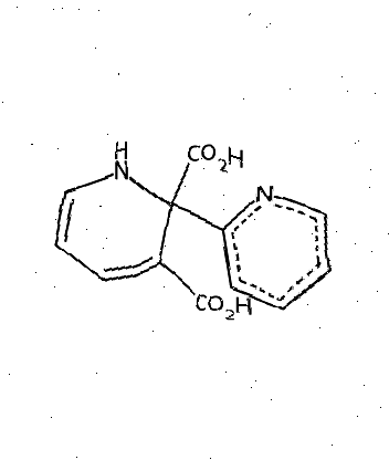 O=C(O)C1=CC=CNC1(C(=O)O)c1ccccn1